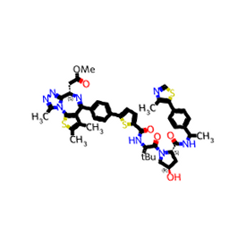 COC(=O)C[C@@H]1N=C(c2ccc(-c3ccc(C(=O)NC(C(=O)N4C[C@H](O)C[C@H]4C(=O)NC(C)c4ccc(-c5scnc5C)cc4)C(C)(C)C)s3)cc2)c2c(sc(C)c2C)-n2c(C)nnc21